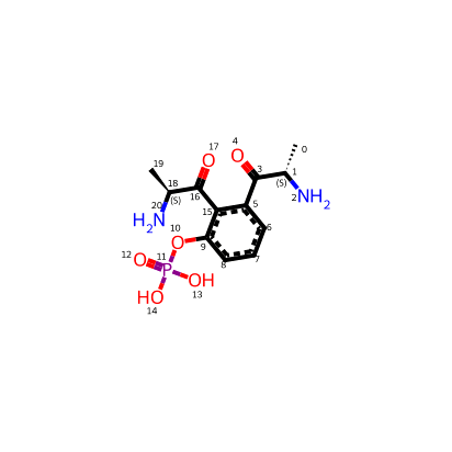 C[C@H](N)C(=O)c1cccc(OP(=O)(O)O)c1C(=O)[C@H](C)N